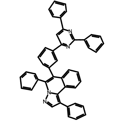 c1ccc(-c2cc(-c3cccc(-c4c(-c5ccccc5)n5ncc(-c6ccccc6)c5c5ccccc45)c3)nc(-c3ccccc3)n2)cc1